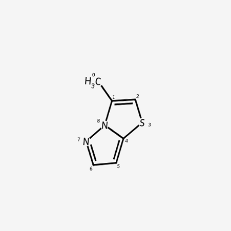 Cc1csc2ccnn12